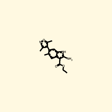 CCOC(=O)c1c(N)[nH]c2cc(-c3c(C)noc3C)c(C)cc12